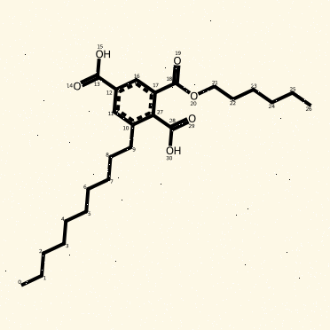 CCCCCCCCCCc1cc(C(=O)O)cc(C(=O)OCCCCCC)c1C(=O)O